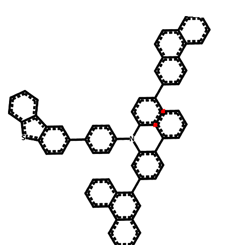 c1ccc(-c2ccc(-c3cc4ccccc4c4ccccc34)cc2N(c2ccc(-c3ccc4c(ccc5ccccc54)c3)cc2)c2ccc(-c3ccc4sc5ccccc5c4c3)cc2)cc1